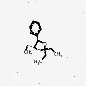 [CH2]C[C@H]1OC(CC)(CC)O[C@@H]1c1ccccc1